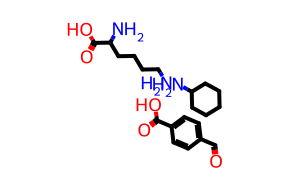 NC1CCCCC1.NCCCCC(N)C(=O)O.O=Cc1ccc(C(=O)O)cc1